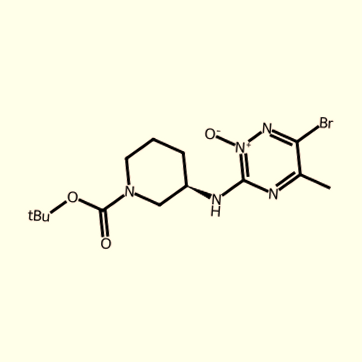 Cc1nc(N[C@@H]2CCCN(C(=O)OC(C)(C)C)C2)[n+]([O-])nc1Br